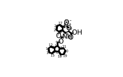 O=C(O)C[C@@H](NC(=O)OCC1c2ccccc2-c2ccccc21)c1ccccc1[N+](=O)[O-]